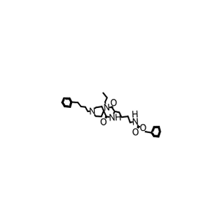 CCCN1C(=O)C(CCCCNC(=O)OCc2ccccc2)NC(=O)C12CCN(CCCCc1ccccc1)CC2